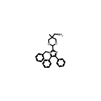 CC1(CN)COC(c2nc(-c3ccccc3)c(-c3ccccc3)n2Cc2ccccc2)OC1